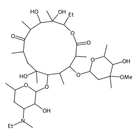 CCC1OC(=O)C(C)C(OC2CC(C)(OC)C(O)C(C)O2)C(C)C(OC2OC(C)CC(N(C)CC)C2O)C(C)(O)CC(C)C(=O)C(C)C(O)C1(C)O